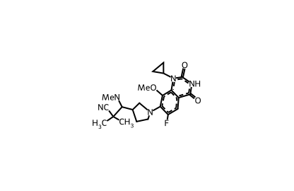 CNC(C1CCN(c2c(F)cc3c(=O)[nH]c(=O)n(C4CC4)c3c2OC)C1)C(C)(C)C#N